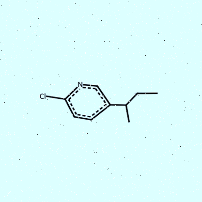 C[CH]C(C)c1ccc(Cl)nc1